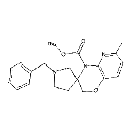 Cc1ccc2c(n1)N(C(=O)OC(C)(C)C)C1(CCN(Cc3ccccc3)C1)CO2